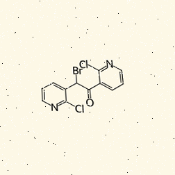 O=C(c1cccnc1Cl)C(Br)c1cccnc1Cl